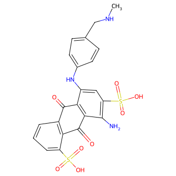 CNCc1ccc(Nc2cc(S(=O)(=O)O)c(N)c3c2C(=O)c2cccc(S(=O)(=O)O)c2C3=O)cc1